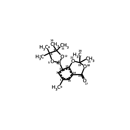 Cc1cc(B2OC(C)(C)C(C)(C)O2)c2c(c1)C(=O)OC(C)(C)O2